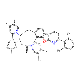 C=C1CC2c3cc(C)ccc3-c3cc(C)c(C)c[n+]3C2CCc2ccc3c(oc4nc(-c5c(C(C)C)cccc5C(C)C)ccc43)c2-c2cc(C)c(CC)c[n+]21